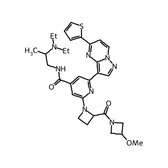 CCN(CC)C(C)CNC(=O)c1cc(-c2cnn3ccc(-c4cccs4)nc23)nc(N2CCC2C(=O)N2CC(OC)C2)c1